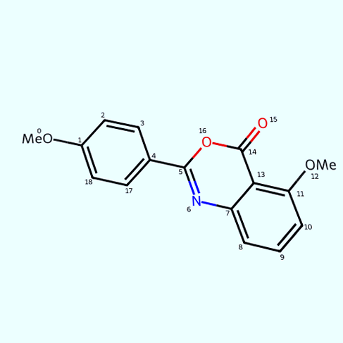 COc1ccc(-c2nc3cccc(OC)c3c(=O)o2)cc1